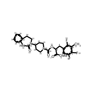 COC(=O)C(Cc1cc(F)c(F)c(C)c1F)OC(=O)N1CCC(N2CCc3ccccc3NC2=O)CC1